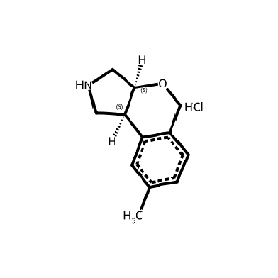 Cc1ccc2c(c1)[C@H]1CNC[C@H]1OC2.Cl